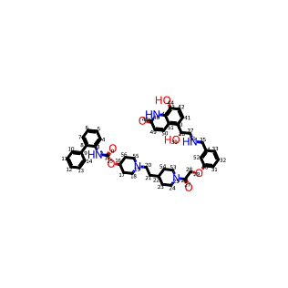 O=C(Nc1ccccc1-c1ccccc1)OC1CCN(CCC2CCN(C(=O)COc3cccc(CNC[C@H](O)c4ccc(O)c5[nH]c(=O)ccc45)c3)CC2)CC1